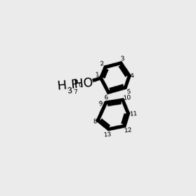 Oc1ccccc1.P.c1ccccc1